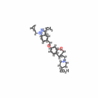 Cc1nn(CC2CC2)c2ccc(COc3ccc4c(c3)OCC(CN3CCC(C(=O)O)CC3)=C4)cc12